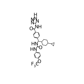 O=C(Nc1ccc(OC(F)(F)F)cc1)NC(c1ccc(C(=O)Nc2nn[nH]n2)cc1)C1CCC(C2CC2)CC1